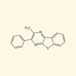 Cc1nc2c(nc1-c1ccccc1)sc1ccccc12